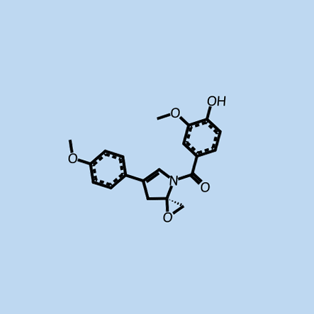 COc1ccc(C2=CN(C(=O)c3ccc(O)c(OC)c3)[C@]3(CO3)C2)cc1